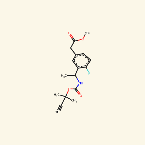 C#CC(C)(C)OC(=O)NC(C)c1cc(CC(=O)OC(C)(C)C)ccc1F